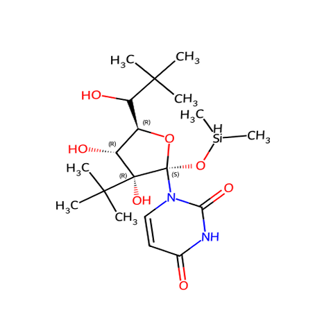 C[SiH](C)O[C@@]1(n2ccc(=O)[nH]c2=O)O[C@H](C(O)C(C)(C)C)[C@@H](O)[C@]1(O)C(C)(C)C